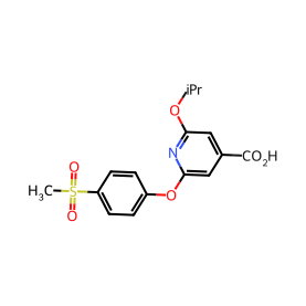 CC(C)Oc1cc(C(=O)O)cc(Oc2ccc(S(C)(=O)=O)cc2)n1